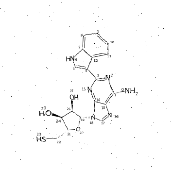 Nc1nc(-c2c[nH]c3ccccc23)nc2c1ncn2[C@@H]1O[C@H](CS)[C@@H](O)[C@H]1O